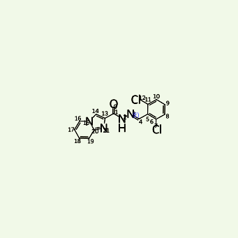 O=C(N/N=C/c1c(Cl)cccc1Cl)c1cn2ccccc2n1